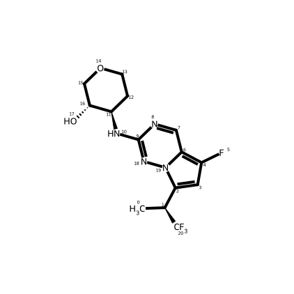 C[C@@H](c1cc(F)c2cnc(N[C@@H]3CCOC[C@H]3O)nn12)C(F)(F)F